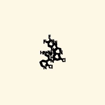 N#Cc1cnc2c(Cl)cc(NC(c3c[nH]nn3)c3cccnc3Cl)cc2c1Nc1cnc(F)c(F)c1